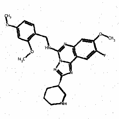 COc1ccc(CNc2nc3cc(OC)c(F)cc3c3nc([C@@H]4CCCNC4)nn23)c(OC)c1